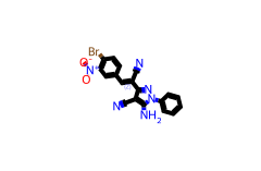 N#C/C(=C\c1ccc(Br)c([N+](=O)[O-])c1)c1nn(-c2ccccc2)c(N)c1C#N